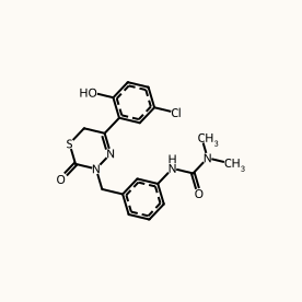 CN(C)C(=O)Nc1cccc(CN2N=C(c3cc(Cl)ccc3O)CSC2=O)c1